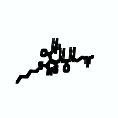 CCCCCSc1nsc(NC(=O)NCCN(C)C)c1C(N)=O